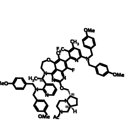 COc1ccc(CN(Cc2ccc(OC)cc2)c2cc(C)c(C(F)(F)F)c(-c3c(Cl)c4c5c(nc(OC[C@@H]6CC[C@H]7CN(C(C)=O)CCN67)nc5c3F)N([C@H](C)c3cccnc3N(Cc3ccc(OC)cc3)Cc3ccc(OC)cc3)CCO4)n2)cc1